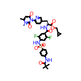 Cc1cc(=O)n(-c2ccc(C[C@H](NC(=O)c3cc(F)c(NS(=O)(=O)c4ccc(NC(=O)C(C)(C)C)cc4)cc3F)C(=O)OCC3CC3)cn2)c(=O)n1C